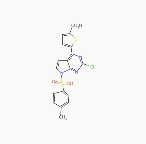 Cc1ccc(S(=O)(=O)n2ccc3c(-c4ccc(C(=O)O)s4)nc(Cl)nc32)cc1